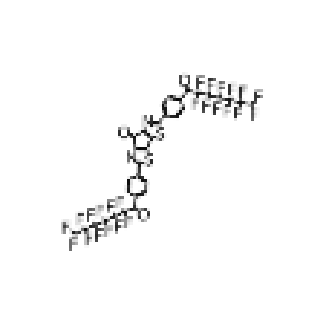 O=C1c2nc(-c3ccc(C(=O)C(F)(F)C(F)(F)C(F)(F)C(F)(F)C(F)(F)C(F)F)cc3)sc2-c2sc(-c3ccc(C(=O)C(F)(F)C(F)(F)C(F)(F)C(F)(F)C(F)(F)C(F)F)cc3)nc21